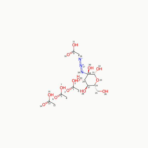 CC(=O)O.CC(=O)O.CC(=O)O.CC(=O)O.[N-]=[N+]=N[C@]1(O)[C@H](O)O[C@H](CO)[C@@H](O)[C@@H]1O